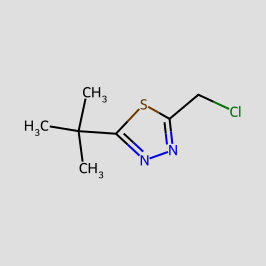 CC(C)(C)c1nnc(CCl)s1